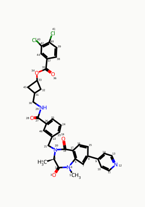 C[C@@H]1C(=O)N(C)c2cc(-c3ccncc3)ccc2C(=O)N1Cc1cccc(C(=O)NCC2CC(OC(=O)c3ccc(Cl)c(Cl)c3)C2)c1